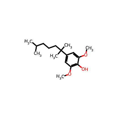 COc1cc(C(C)(C)CCCC(C)C)cc(OC)c1O